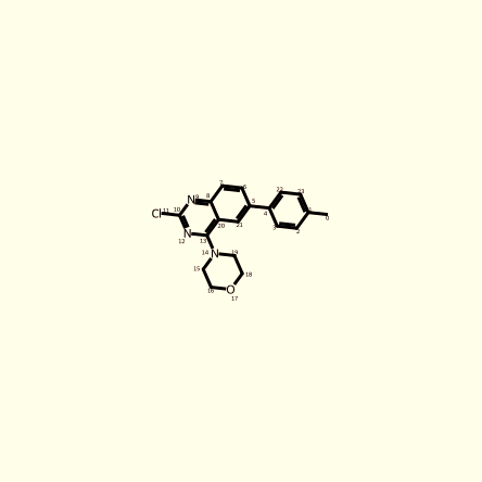 Cc1ccc(-c2ccc3nc(Cl)nc(N4CCOCC4)c3c2)cc1